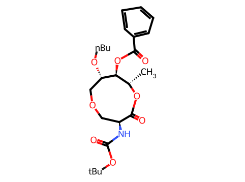 CCCCO[C@H]1COC[C@H](NC(=O)OC(C)(C)C)C(=O)O[C@@H](C)[C@@H]1OC(=O)c1ccccc1